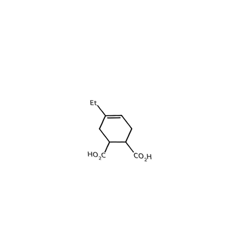 CCC1=CCC(C(=O)O)C(C(=O)O)C1